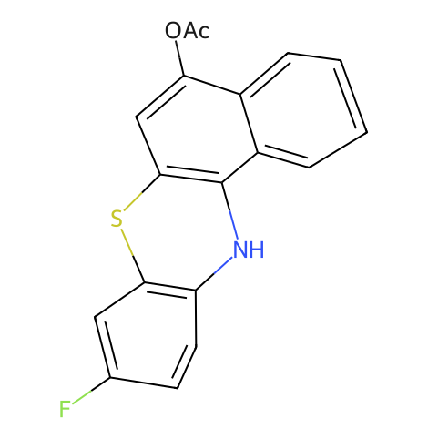 CC(=O)Oc1cc2c(c3ccccc13)Nc1ccc(F)cc1S2